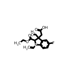 C=CN1c2ccc(F)cc2C(CC)(CC(=O)O)C1C(=O)OCC